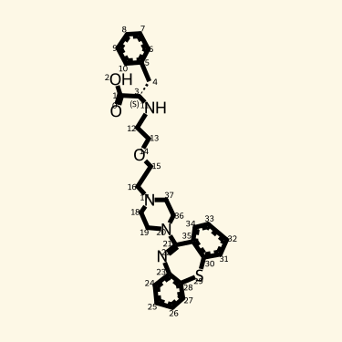 O=C(O)[C@H](Cc1ccccc1)NCCOCCN1CCN(C2=Nc3ccccc3Sc3ccccc32)CC1